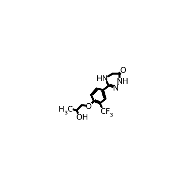 CC(O)COc1ccc(C2=NNC(=O)CN2)cc1C(F)(F)F